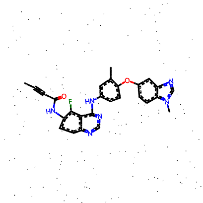 CC#CC(=O)Nc1ccc2ncnc(Nc3ccc(Oc4ccc5c(c4)ncn5C)c(C)c3)c2c1F